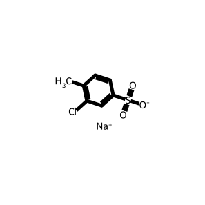 Cc1ccc(S(=O)(=O)[O-])cc1Cl.[Na+]